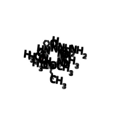 CCCCCC[C@H]1OC[C@@H](C)NC(C=O)[C@@H]([C@H](C)OCCCN)NC(C=O)[C@H](CN)NC(C=O)[C@H](C2CCCCC2)NC(C=O)[C@H](CC(C)C)N(C)C(C=O)[C@H]1C